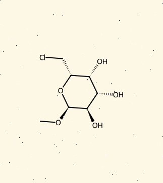 CO[C@H]1O[C@H](CCl)[C@H](O)[C@H](O)[C@H]1O